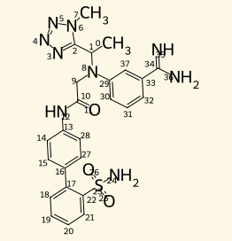 CC(c1nnnn1C)N(CC(=O)Nc1ccc(-c2ccccc2S(N)(=O)=O)cc1)c1cccc(C(=N)N)c1